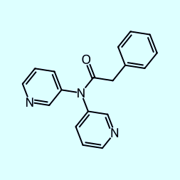 O=C(Cc1ccccc1)N(c1cccnc1)c1cccnc1